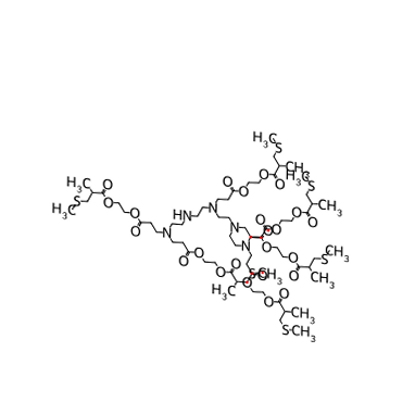 CSCC(C)C(=O)OCCOC(=O)CCN(CCNCCN(CCC(=O)OCCOC(=O)C(C)CSC)CCN(CCC(=O)OCCOC(=O)C(C)CSC)CCN(CCC(=O)OCCOC(=O)C(C)CSC)CCC(=O)OCCOC(=O)C(C)CSC)CCC(=O)OCCOC(=O)C(C)CSC